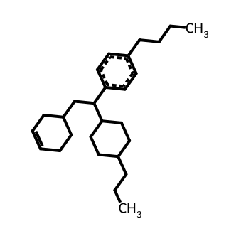 CCCCc1ccc(C(CC2CC=CCC2)C2CCC(CCC)CC2)cc1